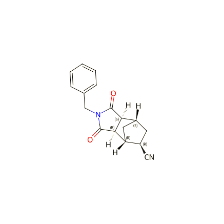 N#C[C@@H]1C[C@@H]2C[C@H]1[C@H]1C(=O)N(Cc3ccccc3)C(=O)[C@@H]21